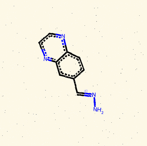 N/N=C/c1ccc2nccnc2c1